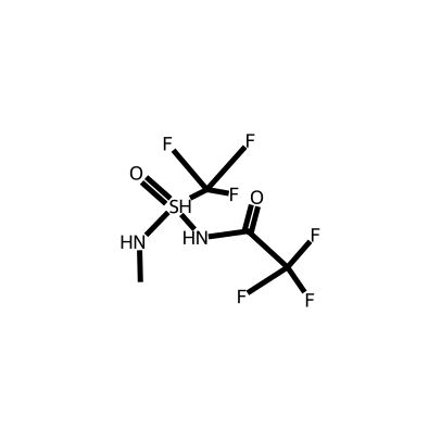 CN[SH](=O)(NC(=O)C(F)(F)F)C(F)(F)F